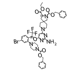 CCOC(=O)[C@@H]1CC2(CCN(c3cc(O[C@H](c4ccc(Br)cc4N4CCN(C(=O)OCc5ccccc5)CC4)C(F)(F)F)nc(N)n3)CC2)CN1C(=O)OCc1ccccc1